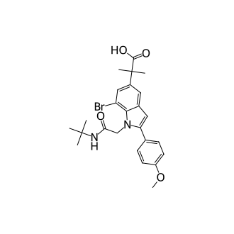 COc1ccc(-c2cc3cc(C(C)(C)C(=O)O)cc(Br)c3n2CC(=O)NC(C)(C)C)cc1